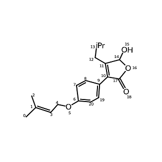 CC(C)=CCOc1ccc(C2=C(CC(C)C)C(O)OC2=O)cc1